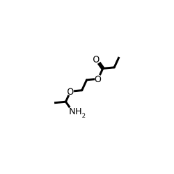 CCC(=O)OCCOC(C)N